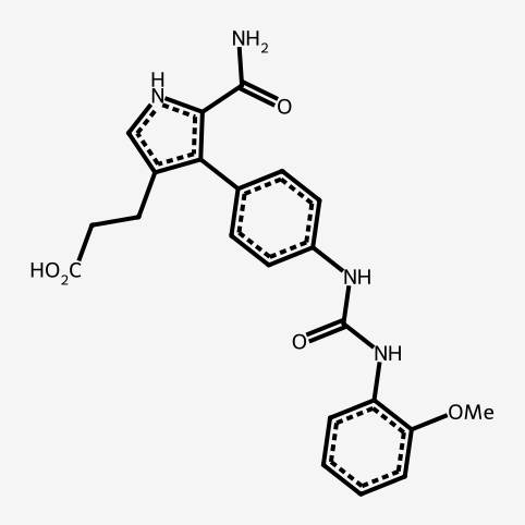 COc1ccccc1NC(=O)Nc1ccc(-c2c(CCC(=O)O)c[nH]c2C(N)=O)cc1